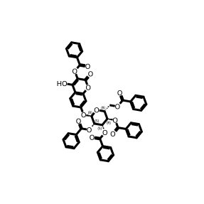 O=C(OC[C@H]1O[C@H](Oc2ccc3c(O)c(OC(=O)c4ccccc4)c(=O)oc3c2)[C@@H](OC(=O)c2ccccc2)[C@@H](OC(=O)c2ccccc2)[C@@H]1OC(=O)c1ccccc1)c1ccccc1